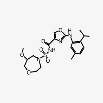 COC1COCCN(S(=O)(=O)NC(=O)c2coc(Nc3cc(C)ccc3C(C)C)n2)C1